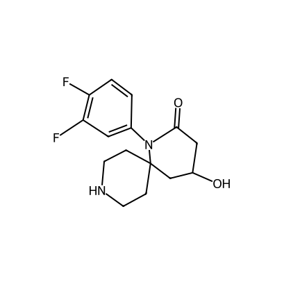 O=C1CC(O)CC2(CCNCC2)N1c1ccc(F)c(F)c1